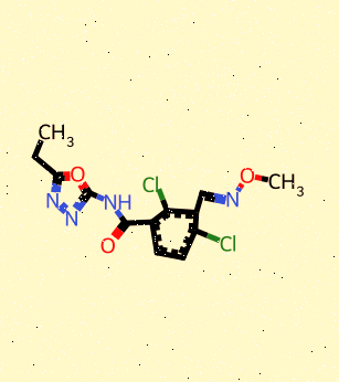 CCc1nnc(NC(=O)c2ccc(Cl)c(C=NOC)c2Cl)o1